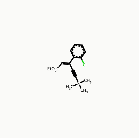 CCOC(=O)C=C(C#C[Si](C)(C)C)c1ccccc1Cl